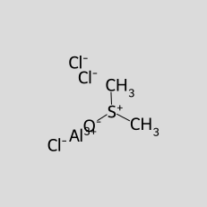 C[S+](C)[O-].[Al+3].[Cl-].[Cl-].[Cl-]